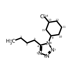 CCCCc1nnnn1C1CCCC(Cl)C1